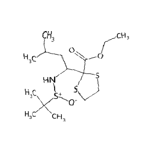 CCOC(=O)C1(C(CC(C)C)N[S+]([O-])C(C)(C)C)SCCS1